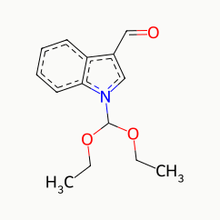 CCOC(OCC)n1cc(C=O)c2ccccc21